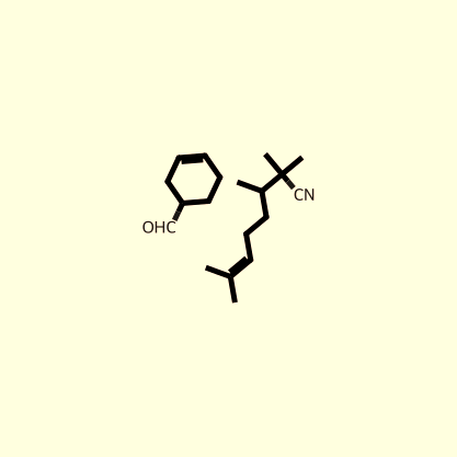 CC(C)=CCCC(C)C(C)(C)C#N.O=CC1CC=CCC1